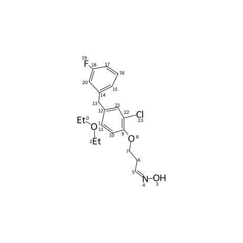 CCOCC.O/N=C\CCOc1ccc(Cc2cccc(F)c2)cc1Cl